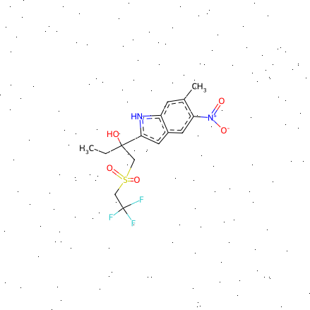 CCC(O)(CS(=O)(=O)CC(F)(F)F)c1cc2cc([N+](=O)[O-])c(C)cc2[nH]1